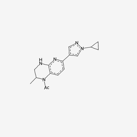 CC(=O)N1c2ccc(-c3cnn(C4CC4)c3)nc2NCC1C